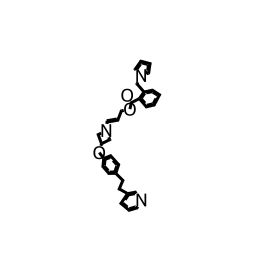 O=C(OCC=CN1CC(Oc2ccc(CCc3cccnc3)cc2)C1)c1ccccc1Cn1cccc1